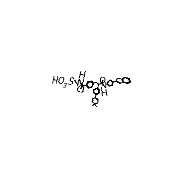 CC1(C)C=CC(c2ccc(C(Cc3ccc(C(=O)NCCS(=O)(=O)O)cc3)C(=O)Nc3ccc(C4=Cc5ccccc5C4)cc3)cc2)=CC1